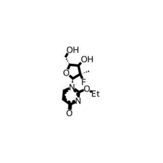 CCOc1nc(=O)ccn1[C@@H]1O[C@H](CO)C(O)[C@@]1(C)F